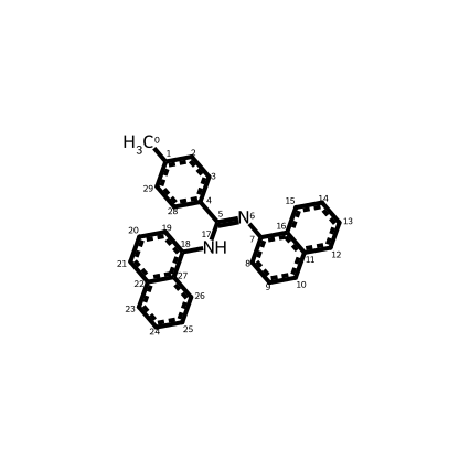 Cc1ccc(C(=Nc2cccc3ccccc23)Nc2cccc3ccccc23)cc1